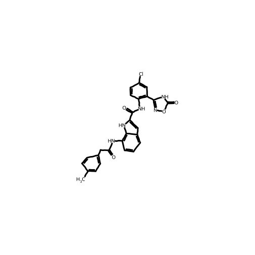 Cc1ccc(CC(=O)Nc2cccc3cc(C(=O)Nc4ccc(Cl)cc4-c4noc(=O)[nH]4)[nH]c23)cc1